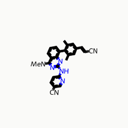 CNc1nc(Nc2ccc(C#N)cn2)nc2c(-c3c(C)cc(C=CC#N)cc3C)cccc12